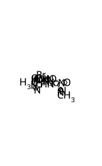 COc1cc(N2CCOCC2)c(-c2cnn(C)c2)cc1Nc1ncc(Br)c(Nc2ccc3nccnc3c2P(C)(C)=O)n1